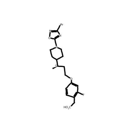 CC(C)c1noc(N2CCC([C@H](C)CCOc3ccc(CC(=O)O)c(F)c3)CC2)n1